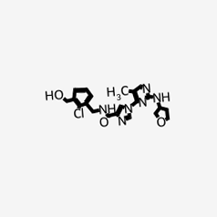 Cc1cnc(NC2CCOC2)nc1-n1cnc(C(=O)NCc2cccc(CO)c2Cl)c1